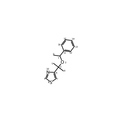 CC(OC(C)(C)c1cscn1)c1ccccc1